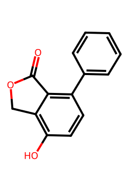 O=C1OCc2c(O)ccc(-c3ccccc3)c21